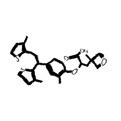 Cc1cc(C(Cc2sccc2C)c2sccc2C)ccc1OC(CC1(C)COC1)C(=O)O